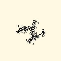 C[C@H](NC(=O)C1CC(OC(=O)OC(C(=O)N2CCN(C)CC2)c2ccc(NC(=O)[C@H](CCCNC(N)=O)NC(=O)C3(C(=O)NCCCCCN4C(=O)C=CC4=O)CCC3)cc2)CN1C(=O)O)c1ccc(C#N)cc1